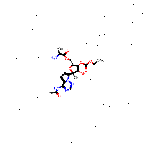 CC(=O)OCOC(=O)O[C@H]1[C@@H](O)[C@](C#N)(c2ccc3c(NC(=O)C(C)C)ncnn23)O[C@@H]1COC(=O)C(N)C(C)(C)C